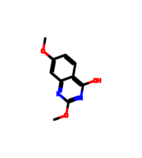 COc1ccc2c(O)nc(OC)nc2c1